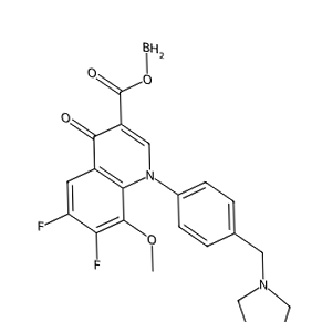 BOC(=O)c1cn(-c2ccc(CN3CCCC3)cc2)c2c(OC)c(F)c(F)cc2c1=O